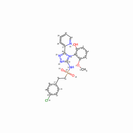 COc1cccc(O)c1-n1c(NS(=O)(=O)CCc2ccc(Cl)cc2)nnc1C1=C=C=CC=N1